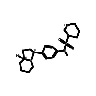 CN(c1ccc([C@@H]2CC[C@H]3CCCCN32)cc1)S(=O)(=O)C1CCCNC1